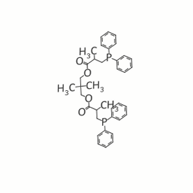 CC(CP(c1ccccc1)c1ccccc1)C(=O)OCC(C)(C)COC(=O)C(C)CP(c1ccccc1)c1ccccc1